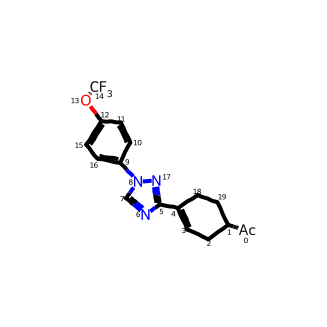 CC(=O)C1CC=C(c2ncn(-c3ccc(OC(F)(F)F)cc3)n2)CC1